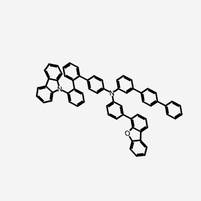 c1ccc(-c2ccc(-c3cccc(N(c4ccc(-c5ccccc5-c5ccccc5-n5c6ccccc6c6ccccc65)cc4)c4cccc(-c5cccc6c5oc5ccccc56)c4)c3)cc2)cc1